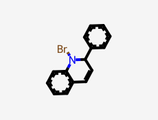 BrN1c2ccccc2C=CC1c1ccccc1